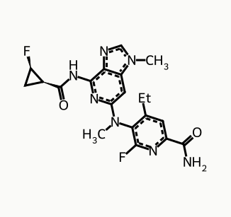 CCc1cc(C(N)=O)nc(F)c1N(C)c1cc2c(ncn2C)c(NC(=O)[C@H]2C[C@H]2F)n1